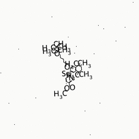 CCOC(=O)c1ccc([Se]c2cc3c(cc2OCCCCCO[Si](C)(C)C(C)(C)C)C(C)(C)CCC3(C)C)nc1